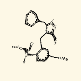 COc1ccc(S(=O)(=O)[O-])c(Cc2c(-c3ccccc3)ssc2=S)c1.[Na+]